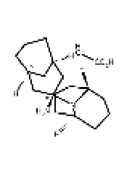 CC(=O)O.N[C@]1(N2[C@H]3CCC[C@H]2CCC3)C[C@@H]2CCC[C@@H](C2)C1